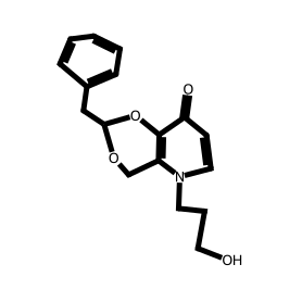 O=c1ccn(CCCO)c2c1OC(Cc1ccccc1)OC2